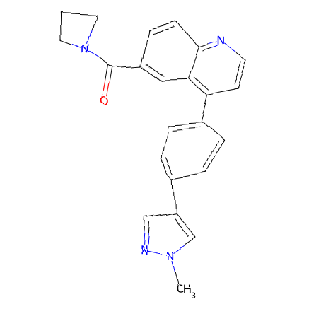 Cn1cc(-c2ccc(-c3ccnc4ccc(C(=O)N5CCC5)cc34)cc2)cn1